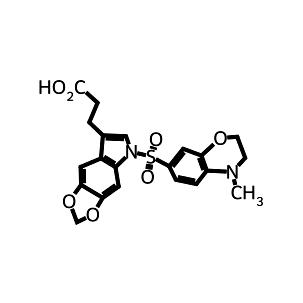 CN1CCOc2cc(S(=O)(=O)n3cc(CCC(=O)O)c4cc5c(cc43)OCO5)ccc21